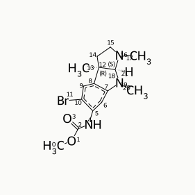 COC(=O)Nc1cc2c(cc1Br)[C@@]1(C)CCN(C)[C@H]1N2C